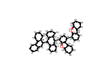 c1ccc2c(c1)cc(-c1c3ccccc3c(-c3ccc(-c4cccc5c4oc4ccccc45)c4c3oc3ccccc34)c3ccccc13)c1ccccc12